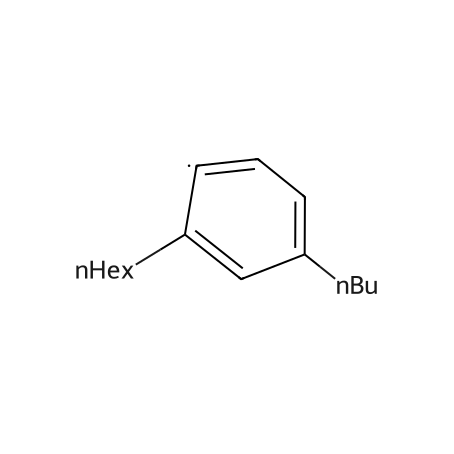 CCCCCCc1[c]ccc(CCCC)c1